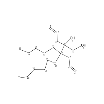 C=CCC(O)(CO)C(CC=C)(CCCCC)OCCCCC